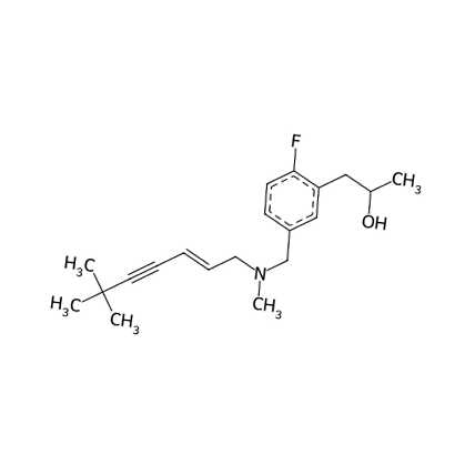 CC(O)Cc1cc(CN(C)C/C=C/C#CC(C)(C)C)ccc1F